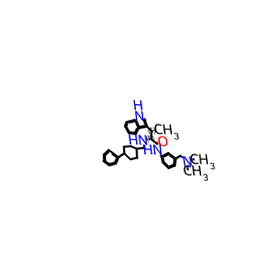 C[C@@H](c1c[nH]c2ccccc12)[C@@H](NCC1CCC(c2ccccc2)CC1)C(=O)Nc1cccc(CN(C)C)c1